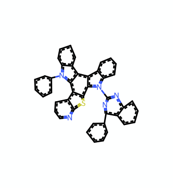 c1ccc(-c2nc(-n3c4ccccc4c4c5c6ccccc6n(-c6ccccc6)c5c5c6cccnc6sc5c43)nc3ccccc23)cc1